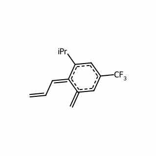 C=C/C=c1/c(C(C)C)cc(C(F)(F)F)cc1=C